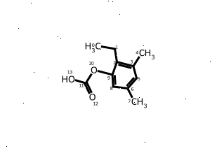 CCc1c(C)cc(C)cc1OC(=O)O